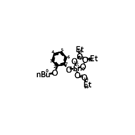 CCCCOc1ccccc1O[Si](OOCC)(OOCC)OOCC